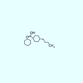 CCCC[C@H]1CC[C@](C(=O)O)(C2CCCCC2)CC1